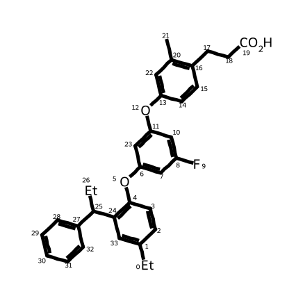 CCc1ccc(Oc2cc(F)cc(Oc3ccc(CCC(=O)O)c(C)c3)c2)c(C(CC)c2ccccc2)c1